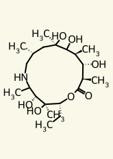 CC[C@H]1OC(=O)[C@H](C)[C@@H](O)[C@H](C)C(O)[C@](C)(O)C[C@@H](C)CNC(C)[C@@H](O)[C@]1(C)O